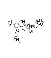 CCOCOc1cc(C(F)(F)F)cc(C)c1-c1ccc2c(Br)n([C@H]3CCC(=O)N(C)C3)nc2n1